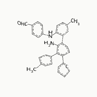 Cc1ccc(-c2c(-c3ccccc3)ccc(-c3cc(C)ccc3Nc3ccc(C=O)cc3)c2N)cc1